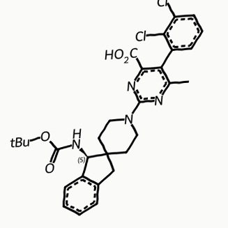 Cc1nc(N2CCC3(CC2)Cc2ccccc2[C@H]3NC(=O)OC(C)(C)C)nc(C(=O)O)c1-c1cccc(Cl)c1Cl